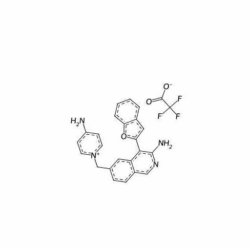 Nc1cc[n+](Cc2ccc3cnc(N)c(-c4cc5ccccc5o4)c3c2)cc1.O=C([O-])C(F)(F)F